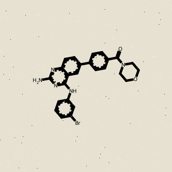 Nc1nc(Nc2cccc(Br)c2)c2cc(-c3ccc(C(=O)N4CCOCC4)cc3)ccc2n1